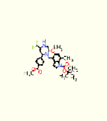 COC(=O)c1ccc(C2CC(C(F)F)NCCN2Cc2c(OC)cc(C)c3c2ccn3C(=O)OC(C)(C)C)cc1